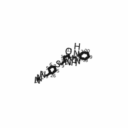 [N-]=[N+]=NCc1ccc(SCc2cc(=O)n(-c3nc4ccccc4[nH]3)[nH]2)cc1